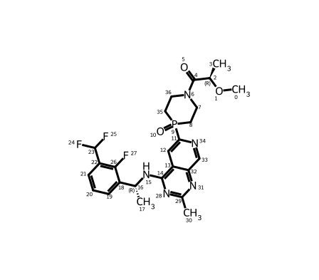 CO[C@H](C)C(=O)N1CCP(=O)(c2cc3c(N[C@H](C)c4cccc(C(F)F)c4F)nc(C)nc3cn2)CC1